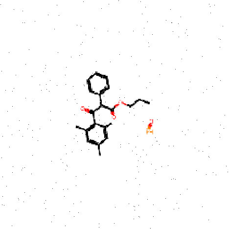 CCCOC(=O)C(C(=O)c1c(C)cc(C)cc1C)c1ccccc1.O=P